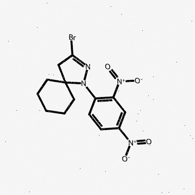 O=[N+]([O-])c1ccc(N2N=C(Br)CC23CCCCC3)c([N+](=O)[O-])c1